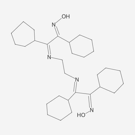 ON=C(C(=NCCN=C(C(=NO)C1CCCCC1)C1CCCCC1)C1CCCCC1)C1CCCCC1